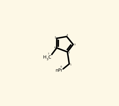 CCCCC1=CC[C]=C1C